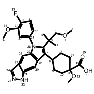 COCC(C)(C)c1c(C2CCC(OC)(C(=O)O)CC2)c2cc3[nH]ncc3cc2n1-c1ccc(F)c(OC)c1